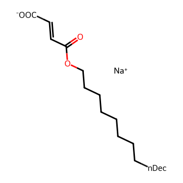 CCCCCCCCCCCCCCCCCCOC(=O)C=CC(=O)[O-].[Na+]